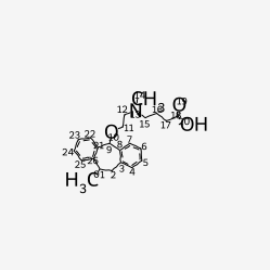 CC1Cc2ccccc2C(OCCN(C)CCCC(=O)O)c2ccccc21